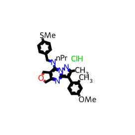 CCCN(Cc1ccc(SC)cc1)c1c2c(nc3c(-c4ccc(OC)cc4C)c(C)nn13)COC2.Cl